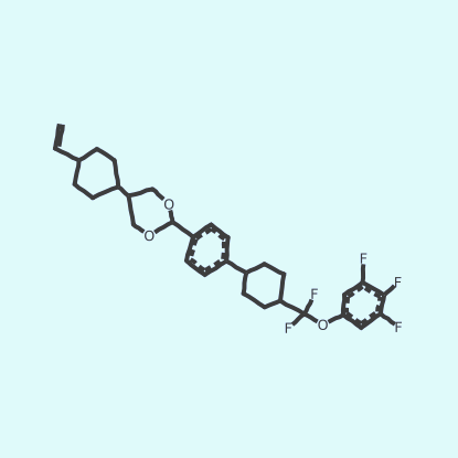 C=CC1CCC(C2COC(c3ccc(C4CCC(C(F)(F)Oc5cc(F)c(F)c(F)c5)CC4)cc3)OC2)CC1